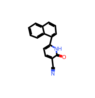 N#Cc1ccc(-c2cccc3ccccc23)[nH]c1=O